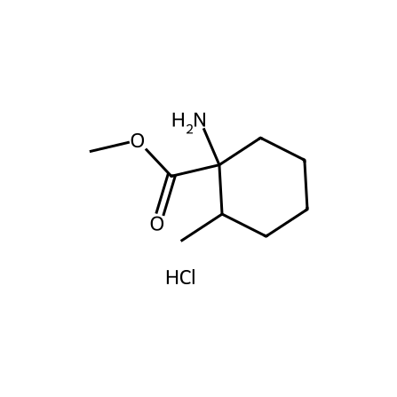 COC(=O)C1(N)CCCCC1C.Cl